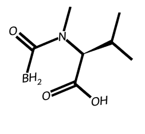 BC(=O)N(C)[C@H](C(=O)O)C(C)C